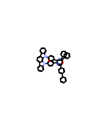 c1ccc(-c2ccc(-c3cc(-c4ccccc4)nc(-c4ccc(-n5c6ccccc6c6ccc7c8ccccc8n(-c8ccc(-c9cccc(-c%10ccccc%10)c9)cc8)c7c65)cc4)n3)cc2)cc1